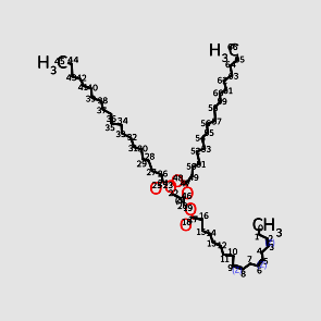 CC/C=C\C/C=C\C/C=C\CCCCCCCC(=O)OC[C@H](COC(=O)CCCCCCCCCCCCCCCCCCCC)OC(=O)CCCCCCCCCCCCCCCCCC